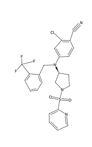 N#Cc1ccc(N(Cc2ccccc2C(F)(F)F)[C@H]2CCN(S(=O)(=O)c3ccccn3)C2)cc1Cl